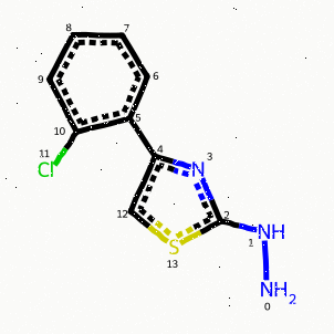 NNc1nc(-c2ccccc2Cl)cs1